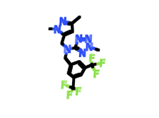 Cc1cc(CN(Cc2cc(C(F)(F)F)cc(C(F)(F)F)c2)c2nnn(C)n2)n(C)n1